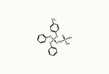 Cc1ccc(OP(=O)(Oc2ccccc2)Oc2ccccc2)cc1.O=P(O)(O)O